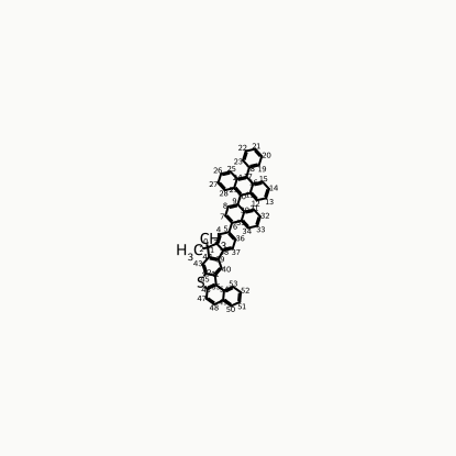 CC1(C)c2cc(-c3ccc(-c4c5ccccc5c(-c5ccccc5)c5ccccc45)c4ccccc34)ccc2-c2cc3c(cc21)sc1ccc2ccccc2c13